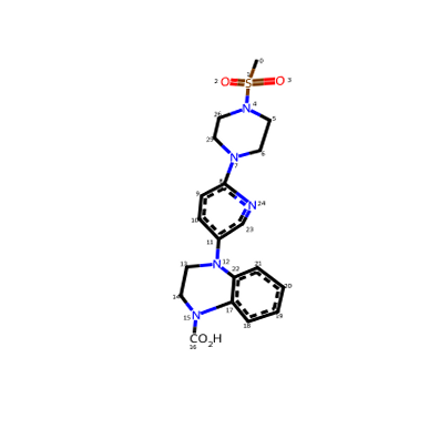 CS(=O)(=O)N1CCN(c2ccc(N3CCN(C(=O)O)c4ccccc43)cn2)CC1